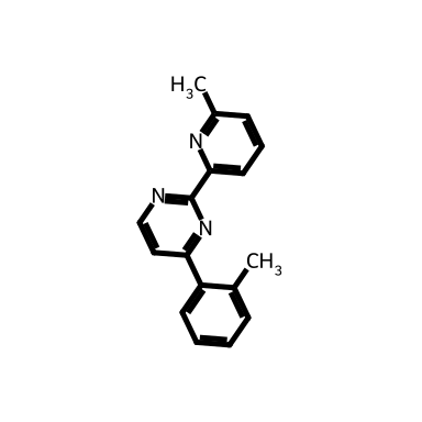 Cc1cccc(-c2nccc(-c3ccccc3C)n2)n1